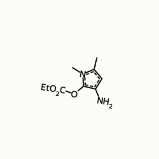 CCOC(=O)Oc1c(N)cc(C)n1C